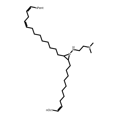 CCCCC/C=C\C/C=C\CCCCCCCCC1C(CCCCCCCC/C=C\CCCCCCCC)N1NCCN(C)C